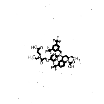 CC[C@@H]1C[C@H](N(Cc2cc(C(F)(F)F)cc(C(F)(F)F)c2)c2ncc(OCC(=O)N(CC)CCC(=O)O)cn2)c2cc(C(F)(F)F)ccc2N1C(=O)O